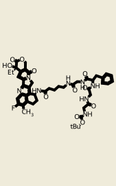 CC[C@@]1(O)C(=O)OCc2c1cc1n(c2=O)Cc2c-1nc1cc(F)c(C)c3c1c2[C@@H](NC(=O)CCCCNC(=O)CNC(=O)C(Cc1ccccc1)NC(=O)CNC(=O)CNC(=O)OC(C)(C)C)CC3